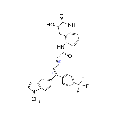 Cn1ccc2cc(/C(=C/C=C/C(=O)Nc3cccc4c3CC(O)C(=O)N4)c3ccc(C(F)(F)F)cc3)ccc21